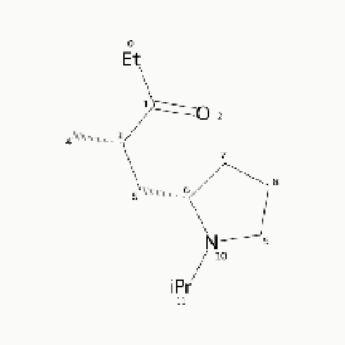 CCC(=O)[C@@H](C)C[C@@H]1CCCN1C(C)C